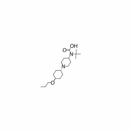 CCCO[C@H]1CC[C@H](N2CCC(N(C(=O)O)C(C)(C)C)CC2)CC1